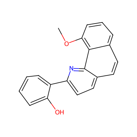 COc1cccc2ccc3ccc(-c4ccccc4O)nc3c12